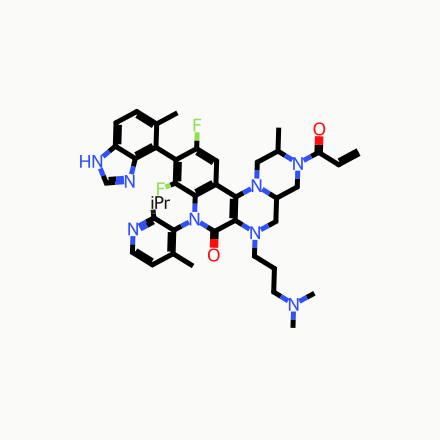 C=CC(=O)N1CC2CN(CCCN(C)C)c3c(c4cc(F)c(-c5c(C)ccc6[nH]cnc56)c(F)c4n(-c4c(C)ccnc4C(C)C)c3=O)N2CC1C